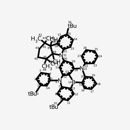 CC(C)(C)c1cccc(N2c3cc(C(C)(C)C)ccc3B3c4ccccc4N(c4ccccc4)c4cc(N5c6ccc(C(C)(C)C)cc6C6(C)C(C)(C)CCC(C)(C)C56C)cc2c43)c1